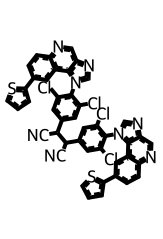 N#CC(c1cc(Cl)c(-n2cnc3cnc4ccc(-c5cccs5)cc4c32)c(Cl)c1)C(C#N)c1cc(Cl)c(-n2cnc3cnc4ccc(-c5cccs5)cc4c32)c(Cl)c1